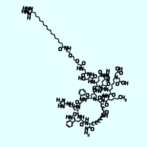 CCCCC(NC(=O)C(CCCCN(CC(=O)O)CC(=O)O)NC(=O)C(Cc1c[nH]cn1)NC(=O)C(CCC(N)=O)NC(=O)C(CO)NC(=O)CNC(=O)COCCOCCNC(=O)CCCCCCCCCCCCCCCC1=NNNN1)C(=O)NC1CCC(=O)NCCCCC(C(N)=O)NC(=O)C(Cc2c[nH]c3ccccc23)NC(=O)C(CCCNC(=N)N)NC(=O)[C@@H](Cc2ccccc2)NC(=O)C2C[C@@H](O)CN2C1=O